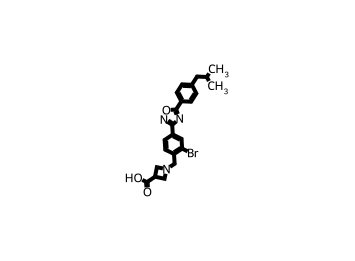 CC(C)Cc1ccc(-c2nc(-c3ccc(CN4CC(C(=O)O)C4)c(Br)c3)no2)cc1